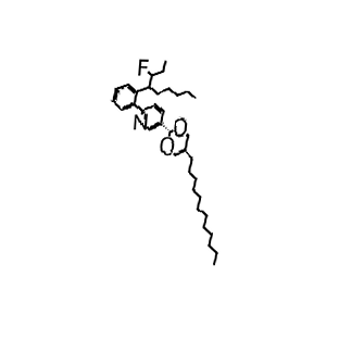 CCCCCCCCCCCC[C@H]1CO[C@H](c2ccc(-c3ccccc3C(CCCCC)C(F)CC)nc2)OC1